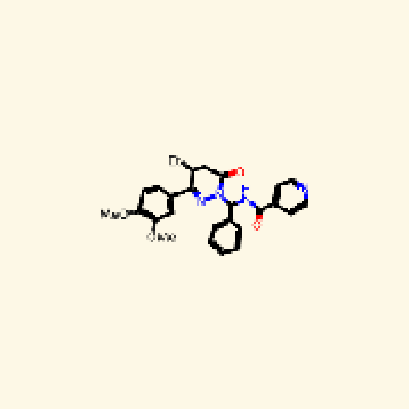 CCC1CC(=O)N(C(NC(=O)c2ccncc2)c2ccccc2)N=C1c1ccc(OC)c(OC)c1